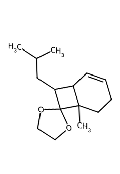 CC(C)CC1C2C=CCCC2(C)C12OCCO2